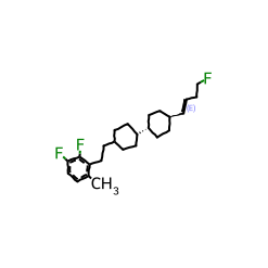 Cc1ccc(F)c(F)c1CCC1CCC([C@H]2CC[C@H](/C=C/CCF)CC2)CC1